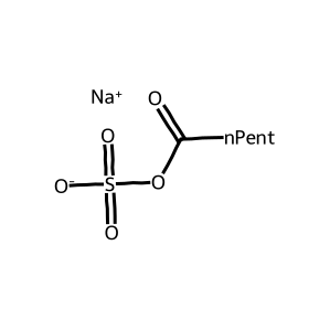 CCCCCC(=O)OS(=O)(=O)[O-].[Na+]